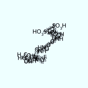 CC1OC(OCC(CCC(=O)NCCNC(=O)COCCOCC(=O)Nc2cccc(CNc3cc(S(=O)(=O)O)cc4cc(S(=O)(=O)O)cc(S(=O)(=O)O)c34)c2)n2cc(-c3cccc(F)c3)nn2)C(O)C(O)C1O